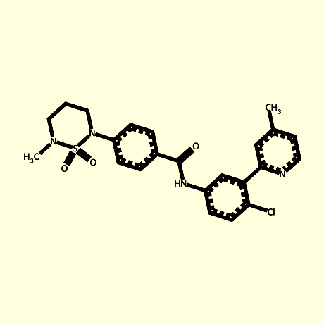 Cc1ccnc(-c2cc(NC(=O)c3ccc(N4CCCN(C)S4(=O)=O)cc3)ccc2Cl)c1